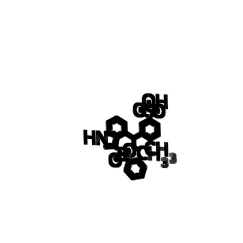 CCC(c1cc(S(=O)(=O)O)ccc1C)c1cccc2[nH]cc(S(=O)(=O)c3ccccc3)c12